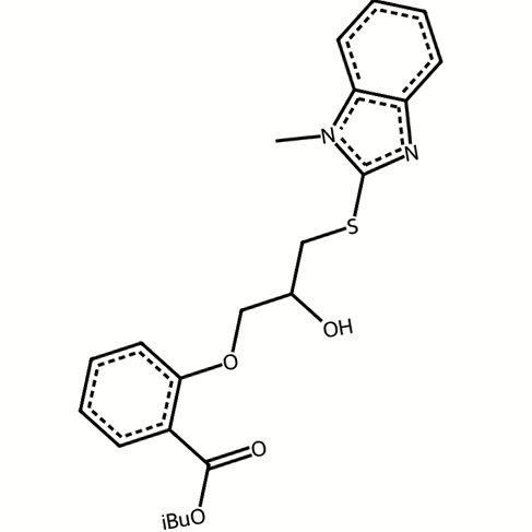 CC(C)COC(=O)c1ccccc1OCC(O)CSc1nc2ccccc2n1C